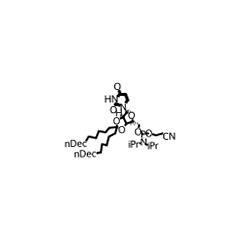 CCCCCCCCCCCCCCCC1(CCCCCCCCCCCCCCC)OC2[C@@H](COP(OCCC#N)N(C(C)C)C(C)C)O[C@@H](n3ccc(=O)[nH]c3=O)[C@H]2O1